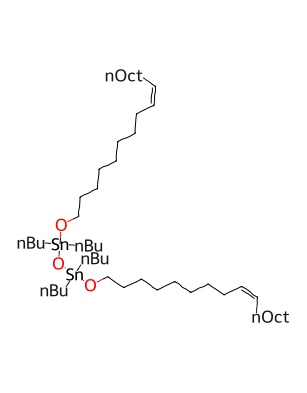 CCCCCCCC/C=C\CCCCCCCC[O][Sn]([CH2]CCC)([CH2]CCC)[O][Sn]([CH2]CCC)([CH2]CCC)[O]CCCCCCCC/C=C\CCCCCCCC